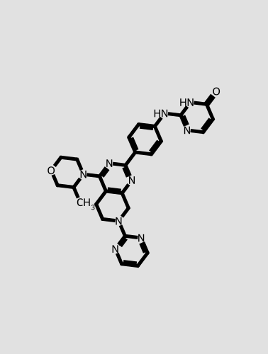 CC1COCCN1c1nc(-c2ccc(Nc3nccc(=O)[nH]3)cc2)nc2c1CCN(c1ncccn1)C2